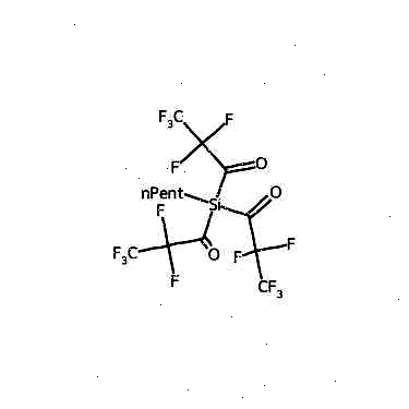 CCCCC[Si](C(=O)C(F)(F)C(F)(F)F)(C(=O)C(F)(F)C(F)(F)F)C(=O)C(F)(F)C(F)(F)F